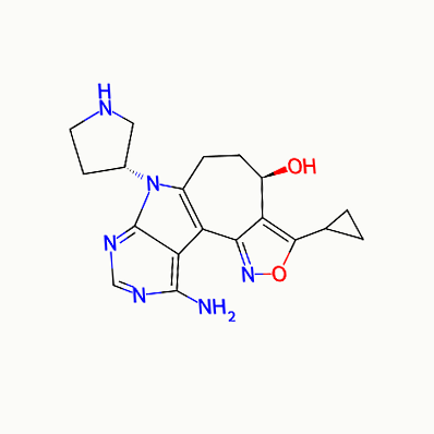 Nc1ncnc2c1c1c(n2[C@@H]2CCNC2)CC[C@@H](O)c2c-1noc2C1CC1